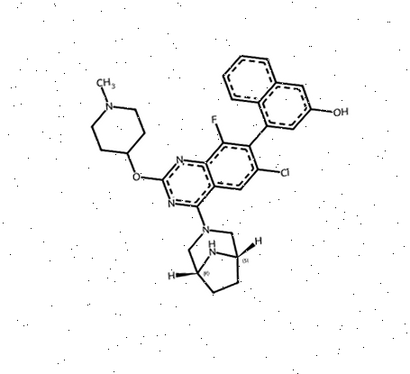 CN1CCC(Oc2nc(N3C[C@H]4CC[C@@H](C3)N4)c3cc(Cl)c(-c4cc(O)cc5ccccc45)c(F)c3n2)CC1